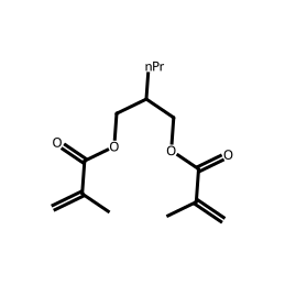 C=C(C)C(=O)OCC(CCC)COC(=O)C(=C)C